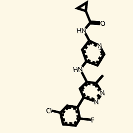 Cc1nnc(-c2cc(Cl)ccc2F)cc1Nc1ccnc(NC(=O)C2CC2)c1